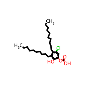 CCCCCCCCCCc1c(Cl)cc(OC(=O)O)c(O)c1CCCCCCCCCC